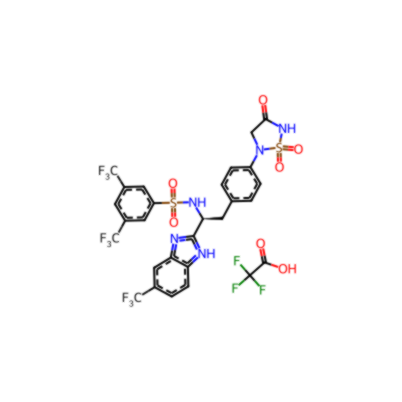 O=C(O)C(F)(F)F.O=C1CN(c2ccc(C[C@H](NS(=O)(=O)c3cc(C(F)(F)F)cc(C(F)(F)F)c3)c3nc4cc(C(F)(F)F)ccc4[nH]3)cc2)S(=O)(=O)N1